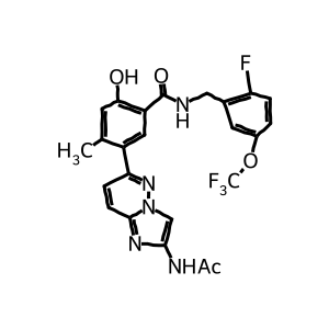 CC(=O)Nc1cn2nc(-c3cc(C(=O)NCc4cc(OC(F)(F)F)ccc4F)c(O)cc3C)ccc2n1